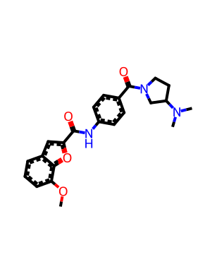 COc1cccc2cc(C(=O)Nc3ccc(C(=O)N4CCC(N(C)C)C4)cc3)oc12